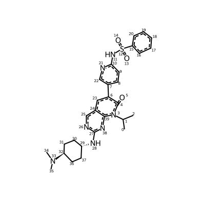 CC(C)n1c(=O)c(-c2ccc(NS(=O)(=O)c3ccccc3)nc2)cc2cnc(N[C@H]3CC[C@H](N(C)C)CC3)nc21